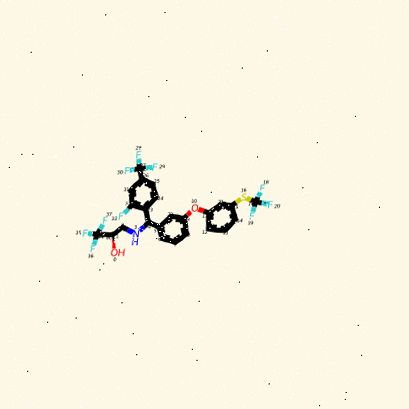 O[C@H](CNC(c1cccc(Oc2cccc(SC(F)(F)F)c2)c1)c1ccc(C(F)(F)F)cc1F)C(F)(F)F